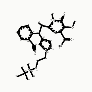 COc1c(C(=O)O)nc(C(C)C(c2cnn(CCO[Si](C)(C)C(C)(C)C)c2)c2ccccc2C#N)n(C)c1=O